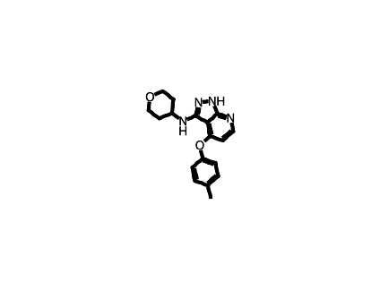 Cc1ccc(Oc2ccnc3[nH]nc(NC4CCOCC4)c23)cc1